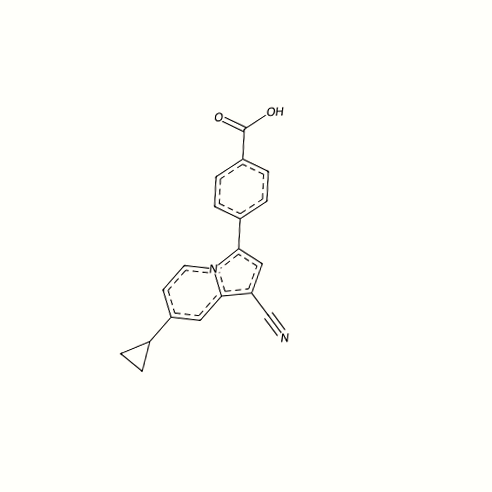 N#Cc1cc(-c2ccc(C(=O)O)cc2)n2ccc(C3CC3)cc12